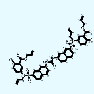 C=CCOC(=O)c1cc(N(CC=C)S(=O)(=O)c2ccc3ccc(NC(=O)Nc4ccc5ccc(S(=O)(=O)N(CC=C)c6ccc(Cl)c(C(=O)OCC=C)c6)cc5c4)cc3c2)ccc1Cl